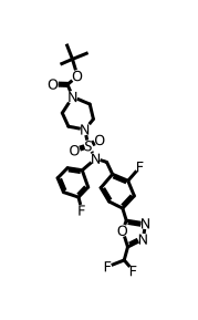 CC(C)(C)OC(=O)N1CCN(S(=O)(=O)N(Cc2ccc(-c3nnc(C(F)F)o3)cc2F)c2cccc(F)c2)CC1